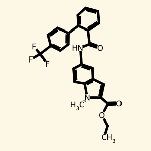 CCOC(=O)c1cc2cc(NC(=O)c3ccccc3-c3ccc(C(F)(F)F)cc3)ccc2n1C